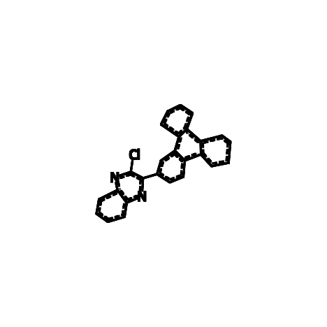 Clc1nc2ccccc2nc1-c1ccc2c3ccccc3c3ccccc3c2c1